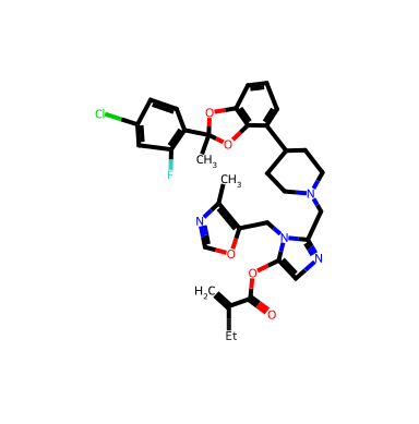 C=C(CC)C(=O)Oc1cnc(CN2CCC(c3cccc4c3OC(C)(c3ccc(Cl)cc3F)O4)CC2)n1Cc1ocnc1C